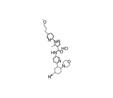 COCCCc1ccc(-n2ncc(C(=O)Nc3ccc(C4CC(C#N)CCC4N4CCOCC4)nc3)c2C)nc1.Cl